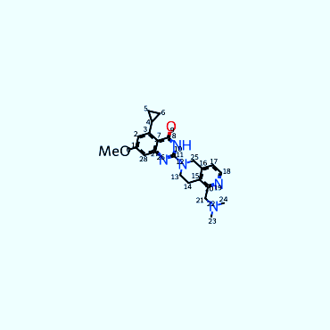 COc1cc(C2CC2)c2c(=O)[nH]c(N3CCc4c(ccnc4CN(C)C)C3)nc2c1